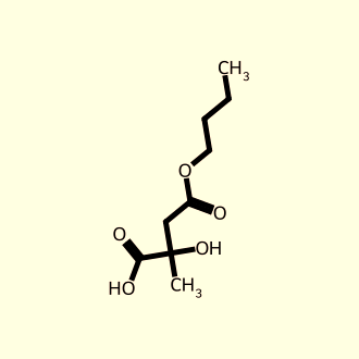 CCCCOC(=O)CC(C)(O)C(=O)O